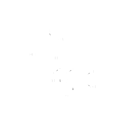 CC(C)[C@@H](C)CC[C@@H](C)[C@H]1CC[C@H]2[C@@H]3CC(=O)[C@H]4C[C@H](O)[C@H](O)C[C@]4(C)[C@H]3CC[C@]12C